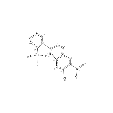 O=[N+]([O-])c1cc2ccc(-c3ncccc3C(F)(F)F)nc2nc1Cl